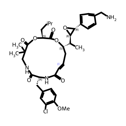 COc1ccc(C[C@H]2NC(=O)/C=C/C[C@@H](C(C)[C@H]3O[C@@H]3c3ccc(CN)cc3)OC(=O)[C@H](CC(C)C)OC(=O)C(C)(C)CNC2=O)cc1Cl